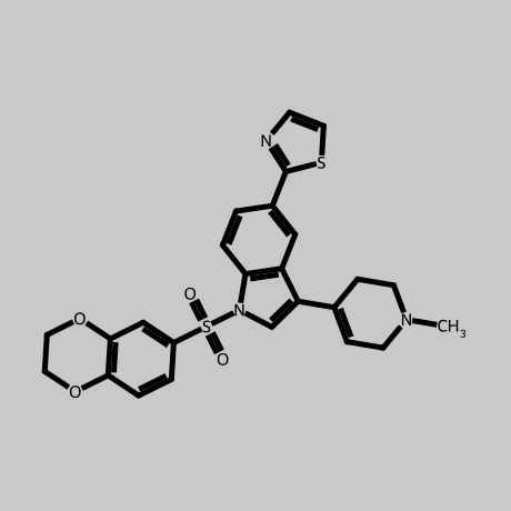 CN1CC=C(c2cn(S(=O)(=O)c3ccc4c(c3)OCCO4)c3ccc(-c4nccs4)cc23)CC1